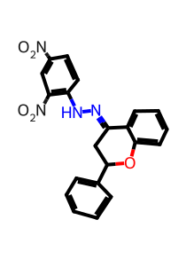 O=[N+]([O-])c1ccc(NN=C2CC(c3ccccc3)Oc3ccccc32)c([N+](=O)[O-])c1